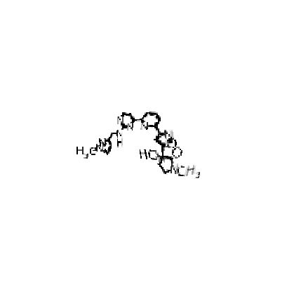 CN1CC[C@@](O)(c2cc(-c3cccc(-c4ccnc(NCc5ccn(C)n5)n4)n3)no2)C1=O